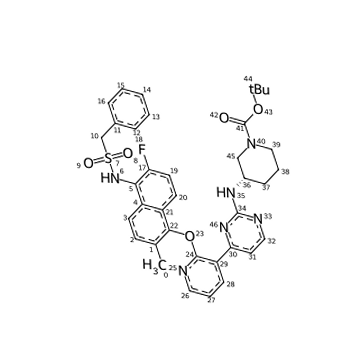 Cc1ccc2c(NS(=O)(=O)Cc3ccccc3)c(F)ccc2c1Oc1ncccc1-c1ccnc(N[C@H]2CCCN(C(=O)OC(C)(C)C)C2)n1